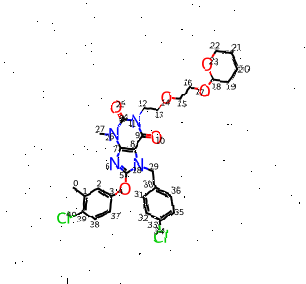 Cc1cc(Oc2nc3c(c(=O)n(CCOCCOC4CCCCO4)c(=O)n3C)n2Cc2ccc(Cl)cc2)ccc1Cl